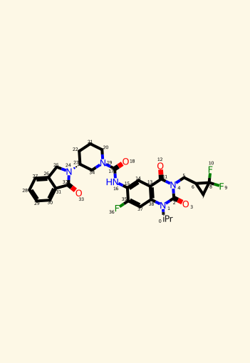 CC(C)n1c(=O)n(CC2CC2(F)F)c(=O)c2cc(NC(=O)N3CCC[C@@H](N4Cc5ccccc5C4=O)C3)c(F)cc21